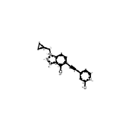 Clc1cc(C#Cc2ccc3c(nnn3CC3CC3)c2Cl)ccn1